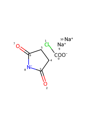 O=C([O-])Cl.O=C1CCC(=O)[N-]1.[Na+].[Na+]